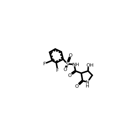 O=C1NCC(O)C1C(=O)NS(=O)(=O)c1cccc(F)c1F